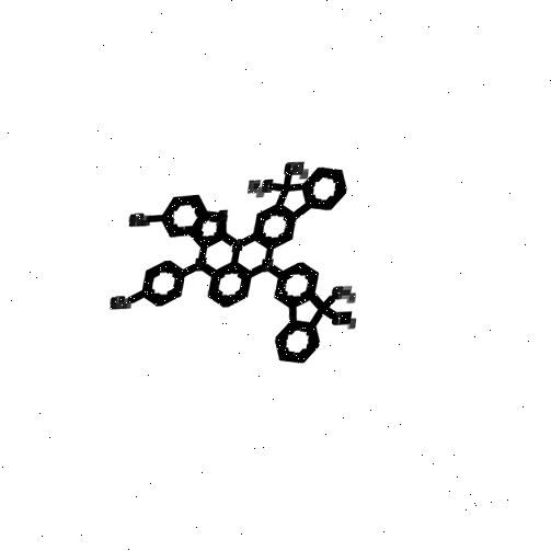 CC(C)(C)c1ccc(N2c3cccc4c3B(c3cc5c(cc3N4c3ccc4c(c3)-c3ccccc3C4(C)C)-c3ccccc3C5(C)C)c3sc4ccc(C(C)(C)C)cc4c32)cc1